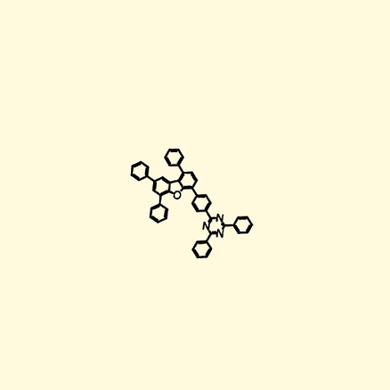 c1ccc(-c2cc(-c3ccccc3)c3oc4c(-c5ccc(-c6nc(-c7ccccc7)nc(-c7ccccc7)n6)cc5)ccc(-c5ccccc5)c4c3c2)cc1